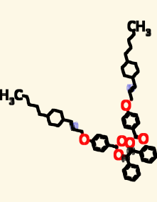 CCCCCC1CCC(/C=C/COc2ccc(C(=O)O[C@H](c3ccccc3)[C@H](OC(=O)c3ccc(OC/C=C/C4CCC(CCCCC)CC4)cc3)c3ccccc3)cc2)CC1